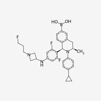 C[C@@H]1Cc2cc(B(O)O)ccc2[C@H](c2c(F)cc(NC3CN(CCCF)C3)cc2F)N1c1ccc(C2CC2)cc1